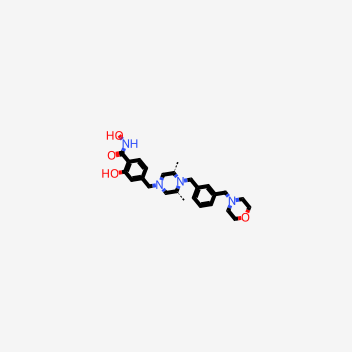 C[C@@H]1CN(Cc2ccc(C(=O)NO)c(O)c2)C[C@H](C)N1Cc1cccc(CN2CCOCC2)c1